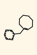 [CH]1CC/C=C(/Cc2ccccc2)CCC1